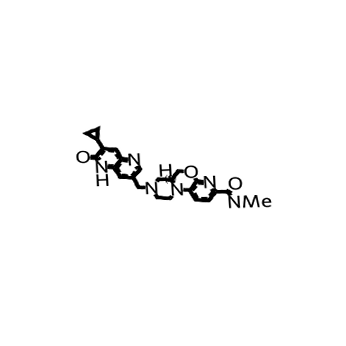 CNC(=O)c1ccc2c(n1)OC[C@@H]1CN(Cc3cnc4cc(C5CC5)c(=O)[nH]c4c3)CCN21